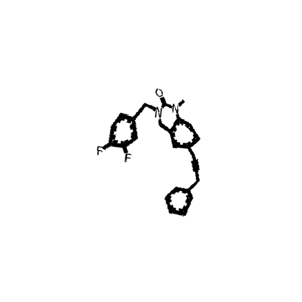 CN1C(=O)N(Cc2ccc(F)c(F)c2)Cc2cc(C#CCc3ccccc3)ccc21